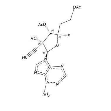 C#C[C@]1(O)[C@H](n2cnc3c(N)ncnc32)O[C@](F)(CCOC(C)=O)[C@H]1OC(C)=O